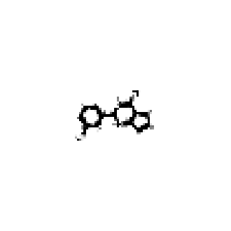 ClC1=NC(c2cccc(Cl)c2)NC2=C1CC=C2